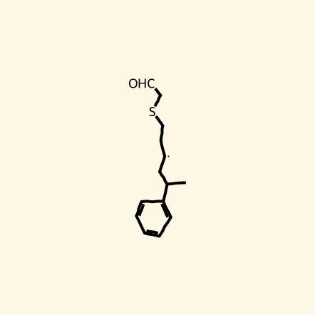 CC(C[CH]CCSCC=O)c1ccccc1